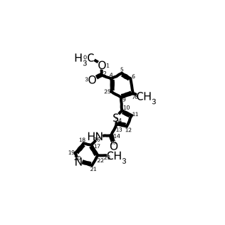 COC(=O)c1ccc(C)c(-c2ccc(C(=O)Nc3ccncc3C)s2)c1